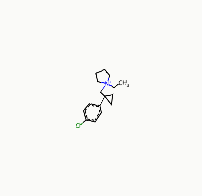 CC[N+]1(CC2(c3ccc(Cl)cc3)CC2)CCCC1